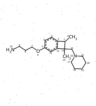 CC1c2ccc(OCCCN)cc2C1(C)CN1CCCCC1